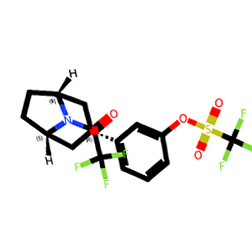 O=C(N1[C@@H]2CC[C@H]1C[C@@H](c1cccc(OS(=O)(=O)C(F)(F)F)c1)C2)C(F)(F)F